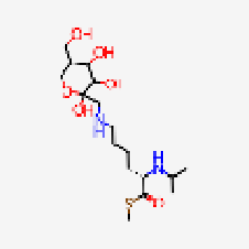 CSC(=O)[C@H](CCCCNCC1(O)OCC(CO)C(O)C1O)NC(C)C